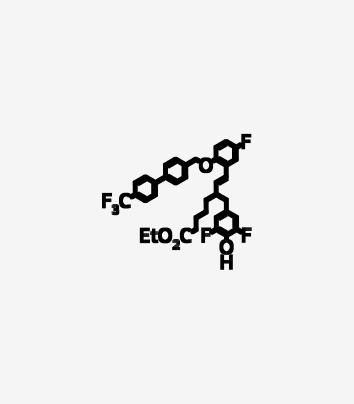 CCOC(=O)CCCCC(C=Cc1cc(F)ccc1OCc1ccc(-c2ccc(C(F)(F)F)cc2)cc1)Cc1cc(F)c(O)c(F)c1